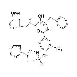 COc1cccc(CNC[C@@H](O)[C@H](Cc2ccccc2)NC(=O)c2cc(N3CC(c4ccccc4)CCS3(O)O)cc([N+](=O)[O-])c2)c1